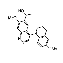 COc1ccc2c(c1)CCCN2c1cnnc2cc(OC)c(C(C)O)cc12